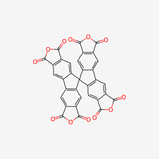 O=C1OC(=O)c2cc3c(cc21)-c1cc2c(cc1C31c3cc4c(cc3-c3cc5c(cc31)C(=O)OC5=O)C(=O)OC4=O)C(=O)OC2=O